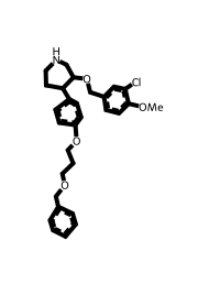 COc1ccc(COC2CNCCC2c2ccc(OCCCOCc3ccccc3)cc2)cc1Cl